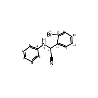 N#CC(Nc1ccccc1)c1ccccc1Br